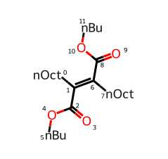 CCCCCCCCC(C(=O)OCCCC)=C(CCCCCCCC)C(=O)OCCCC